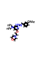 CCCN(CCC)c1cc(N/N=C/c2cccc(OC)c2)nc(OCCN2CCOCC2)c1